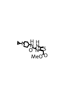 COC(=O)c1scc2[nH]c(C(=O)NC3CCN(C4CC4)CC3)nc12